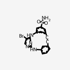 NS(=O)(=O)c1cc2cc(c1)Nc1nc(ncc1Br)Nc1cccc(c1)CC2